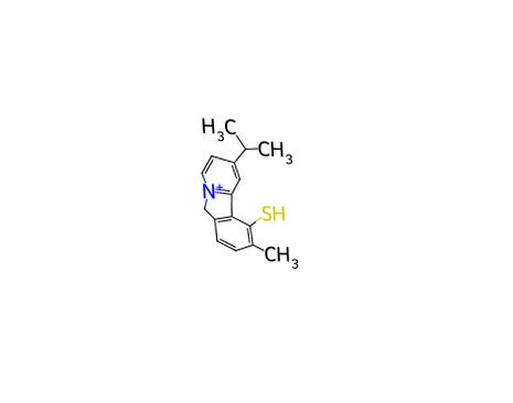 Cc1ccc2c(c1S)-c1cc(C(C)C)cc[n+]1C2